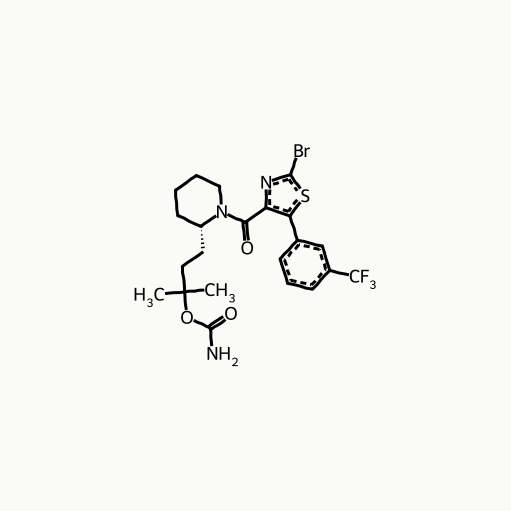 CC(C)(CC[C@@H]1CCCCN1C(=O)c1nc(Br)sc1-c1cccc(C(F)(F)F)c1)OC(N)=O